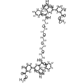 COC(=O)c1cc(-c2cc(C(=O)NCCOCCOCCOCCOCCNC(=O)c3cc(-c4ccc(F)c(C(=O)OC)c4)nc4[nH]nc(-c5ccccc5)c34)c3c(-c4ccccc4)n[nH]c3n2)ccc1F